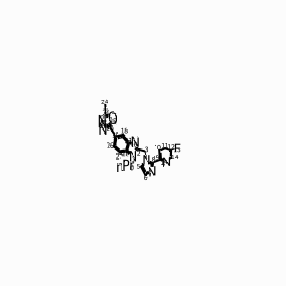 CCCn1c(Cn2ccnc2-c2ccc(F)cn2)nc2cc(-c3nnc(C)o3)ccc21